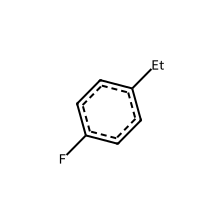 CCc1ccc(F)cc1